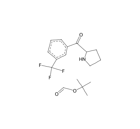 CC(C)(C)OC=O.O=C(c1cccc(C(F)(F)F)c1)C1CCCN1